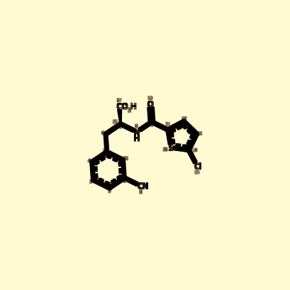 N#Cc1cccc(C[C@H](NC(=O)c2ccc(Cl)s2)C(=O)O)c1